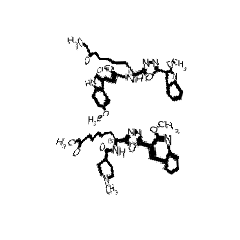 CCC(=O)CCCCC[C@H](NC(=O)C1CCN(C)CC1)c1nnc(-c2cc3ccccc3nc2OC)o1.CCC(=O)CCCCC[C@H](NC(=O)Cc1c(C)[nH]c2ccc(OC)cc12)c1nnc(-c2cc3ccccc3nc2OC)o1